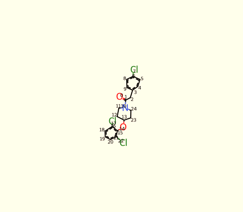 O=C(Cc1ccc(Cl)cc1)N1CCC(Oc2c(Cl)cccc2Cl)CC1